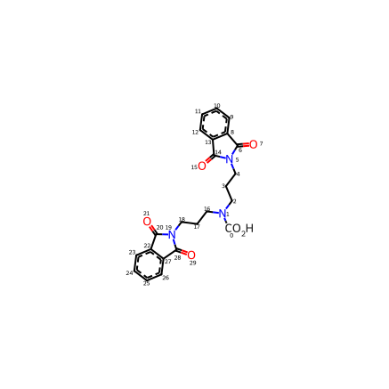 O=C(O)N(CCCN1C(=O)c2ccccc2C1=O)CCCN1C(=O)c2ccccc2C1=O